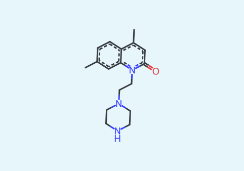 Cc1ccc2c(C)cc(=O)n(CCN3CCNCC3)c2c1